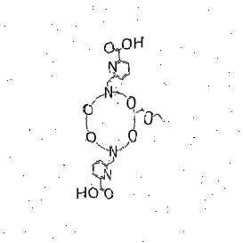 CCOC[C@H]1COCCN(Cc2cccc(C(=O)O)n2)CCOCCOCCN(Cc2cccc(C(=O)O)n2)CCO1